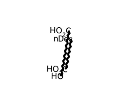 CCCCCCCCCCCCCCCCCCCCCC(=O)O.O=C(O)CCCCCCCCCCCCCCCCCO